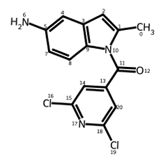 Cc1cc2cc(N)ccc2n1C(=O)c1cc(Cl)nc(Cl)c1